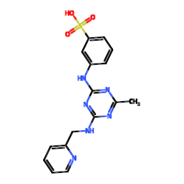 Cc1nc(NCc2ccccn2)nc(Nc2cccc(S(=O)(=O)O)c2)n1